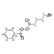 O=C(CCCCBr)OOC(=O)c1ccccc1